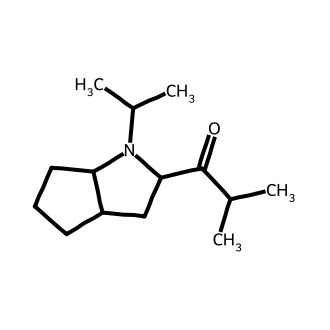 CC(C)C(=O)C1CC2CCCC2N1C(C)C